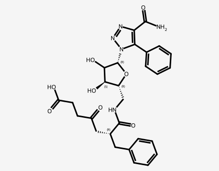 NC(=O)c1nnn([C@@H]2O[C@H](CNC(=O)[C@@H](CC(=O)CCC(=O)O)Cc3ccccc3)[C@@H](O)C2O)c1-c1ccccc1